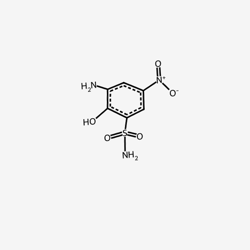 Nc1cc([N+](=O)[O-])cc(S(N)(=O)=O)c1O